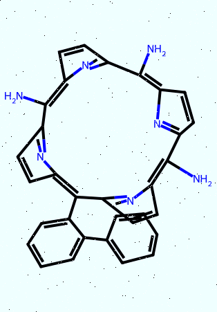 NC1=C2C=CC(=N2)C(N)=C2C=CC(=N2)C(c2ccccc2-c2ccccc2)=C2C=CC(=N2)C(N)=C2C=CC1=N2